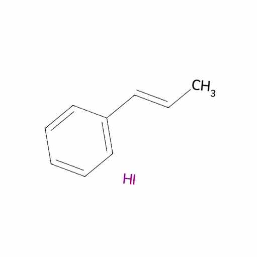 CC=Cc1ccccc1.I